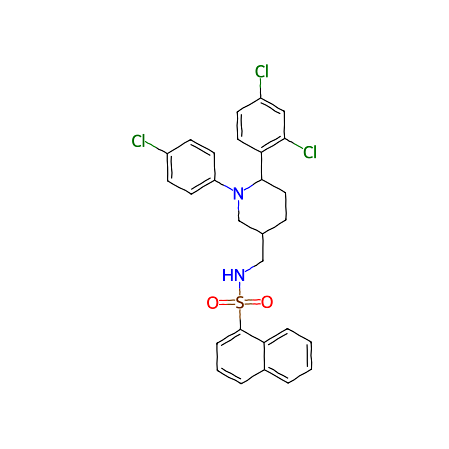 O=S(=O)(NCC1CCC(c2ccc(Cl)cc2Cl)N(c2ccc(Cl)cc2)C1)c1cccc2ccccc12